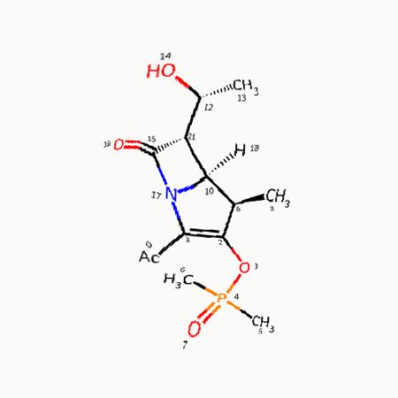 CC(=O)C1=C(OP(C)(C)=O)[C@H](C)[C@@H]2[C@@H]([C@@H](C)O)C(=O)N12